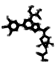 COC(=O)C[C@@H]1[C@H]2CN(C(=O)c3cc4nc(-c5cc(F)c(Cl)c(F)c5)cc(N(CC(C)C)[C@H](C)C(C)C)n4n3)C[C@@H]12